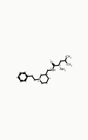 CC(C)C[C@H](N)C(=O)NCC1CCCN(CCc2ccccc2)C1